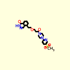 CS(=O)(=O)c1ccc(N2CCN(C(=O)CCOCCc3cccc4c(=O)[nH]ncc34)CC2)nc1